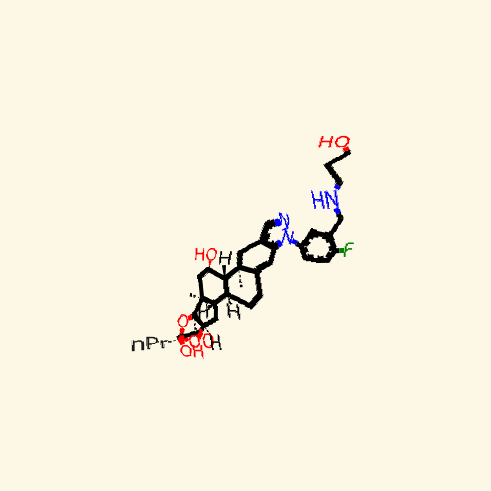 CCC[C@H]1O[C@@H]2C[C@H]3[C@@H]4CCC5=Cc6c(cnn6-c6ccc(F)c(CNCCCO)c6)C[C@]5(C)[C@H]4[C@@H](O)C[C@]3(C)[C@]2(C(=O)CO)O1